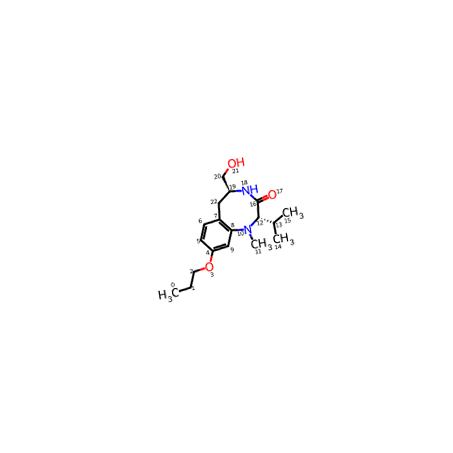 CCCOc1ccc2c(c1)N(C)[C@@H](C(C)C)C(=O)N[C@H](CO)C2